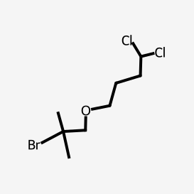 CC(C)(Br)COCCCC(Cl)Cl